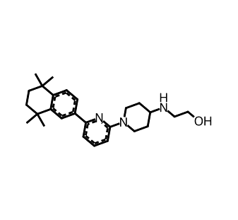 CC1(C)CCC(C)(C)c2cc(-c3cccc(N4CCC(NCCO)CC4)n3)ccc21